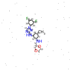 Cc1cc(NCC2COCCO2)cc(Nc2ncn(-c3cc(F)cc(F)c3)n2)c1